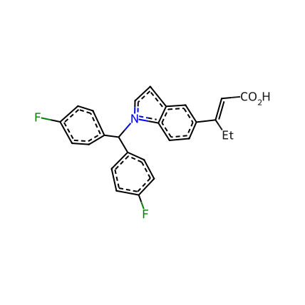 CCC(=CC(=O)O)c1ccc2c(ccn2C(c2ccc(F)cc2)c2ccc(F)cc2)c1